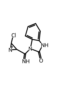 N=C(C1N=C1Cl)n1c(=O)[nH]c2ccccc21